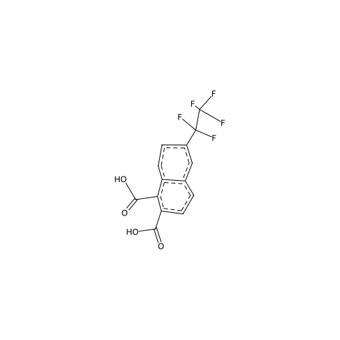 O=C(O)c1ccc2cc(C(F)(F)C(F)(F)F)ccc2c1C(=O)O